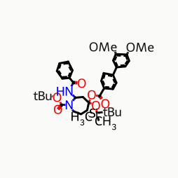 COc1ccc(-c2ccc(C(=O)OC3(O[Si](C)(C)C(C)(C)C)CCCN(C(=O)OC(C)(C)C)C(NC(=O)c4ccccc4)C3)cc2)cc1OC